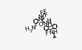 NCc1cccc(-n2nc(C(F)(F)F)cc2C(=O)Nc2ccc(F)c(C(NCC3CC3)c3ccccc3O)c2)c1